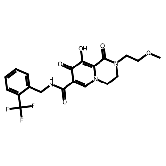 COCCN1CCn2cc(C(=O)NCc3ccccc3C(F)(F)F)c(=O)c(O)c2C1=O